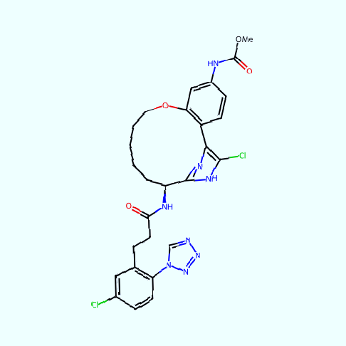 COC(=O)Nc1ccc2c(c1)OCCCCC[C@H](NC(=O)CCc1cc(Cl)ccc1-n1cnnn1)c1nc-2c(Cl)[nH]1